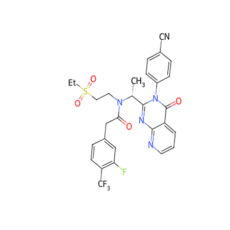 CCS(=O)(=O)CCN(C(=O)Cc1ccc(C(F)(F)F)c(F)c1)[C@H](C)c1nc2ncccc2c(=O)n1-c1ccc(C#N)cc1